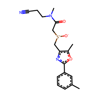 Cc1cccc(-c2nc(C[S+]([O-])CC(=O)N(C)CCC#N)c(C)o2)c1